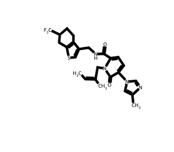 C/C=C(/C)Cn1c(C(=O)NCc2csc3c2CCC(C(F)(F)F)C3)ccc(-n2cnc(C)c2)c1=O